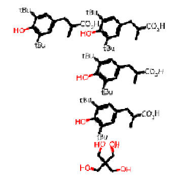 CC(Cc1cc(C(C)(C)C)c(O)c(C(C)(C)C)c1)C(=O)O.CC(Cc1cc(C(C)(C)C)c(O)c(C(C)(C)C)c1)C(=O)O.CC(Cc1cc(C(C)(C)C)c(O)c(C(C)(C)C)c1)C(=O)O.CC(Cc1cc(C(C)(C)C)c(O)c(C(C)(C)C)c1)C(=O)O.OCC(CO)(CO)CO